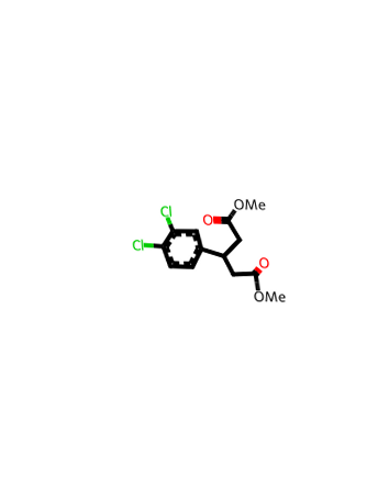 COC(=O)CC(CC(=O)OC)c1ccc(Cl)c(Cl)c1